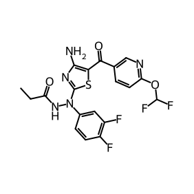 CCC(=O)NN(c1ccc(F)c(F)c1)c1nc(N)c(C(=O)c2ccc(OC(F)F)nc2)s1